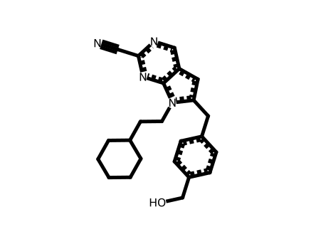 N#Cc1ncc2cc(Cc3ccc(CO)cc3)n(CCC3CCCCC3)c2n1